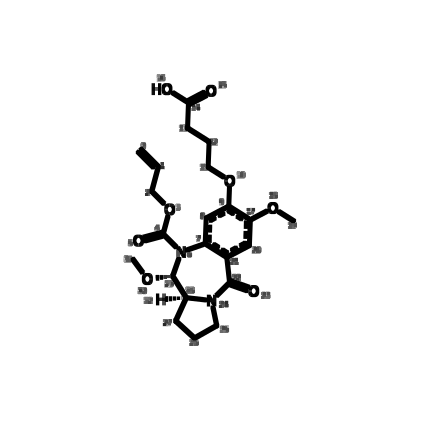 C=CCOC(=O)N1c2cc(OCCCC(=O)O)c(OC)cc2C(=O)N2CCC[C@H]2[C@@H]1OC